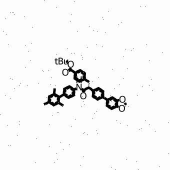 Cc1cc(C)c(-c2ccc(NC(=O)[C@H](Cc3ccc(C(=O)OC(C)(C)C)cc3)c3ccc(-c4ccc5c(c4)OCO5)cc3)cc2)c(C)c1